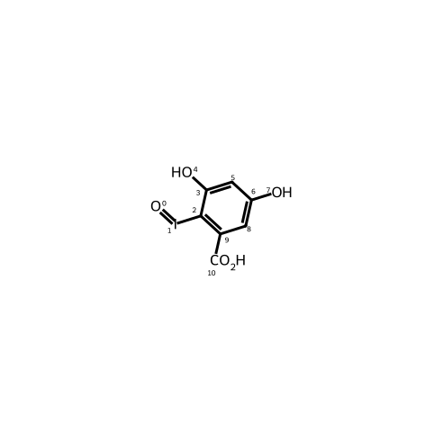 O=Ic1c(O)cc(O)cc1C(=O)O